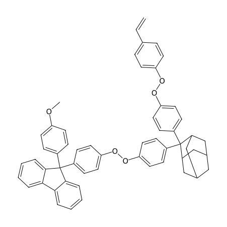 C=Cc1ccc(OOc2ccc(C3(c4ccc(OOc5ccc(C6(c7ccc(OC)cc7)c7ccccc7-c7ccccc76)cc5)cc4)C4CC5CC(C4)CC3C5)cc2)cc1